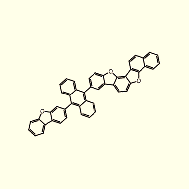 c1ccc2c(c1)ccc1c2oc2ccc3c4cc(-c5c6ccccc6c(-c6ccc7c(c6)oc6ccccc67)c6ccccc56)ccc4oc3c21